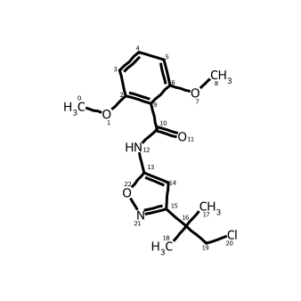 COc1cccc(OC)c1C(=O)Nc1cc(C(C)(C)CCl)no1